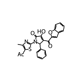 CC(=O)c1sc(N2C(=O)C(O)=C(C(=O)c3cc4ccccc4o3)C2c2ccccc2)nc1C